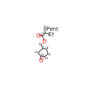 CCCCCC(CC)C(=O)OCC1CCC2OC2C1